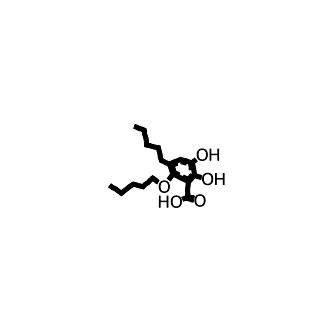 CCCCCOc1c(CCCCC)cc(O)c(O)c1C(=O)O